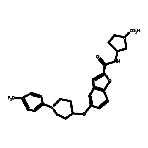 O=C(NC1CCN(C(=O)O)C1)c1cc2cc(OC3CCN(c4ccc(C(F)(F)F)cc4)CC3)ccc2o1